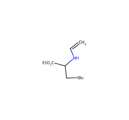 C=CNC(CC(C)(C)C)C(=O)OCC